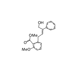 COC(=O)c1c(C/C=C(\CO)c2ccccc2)cccc1OC